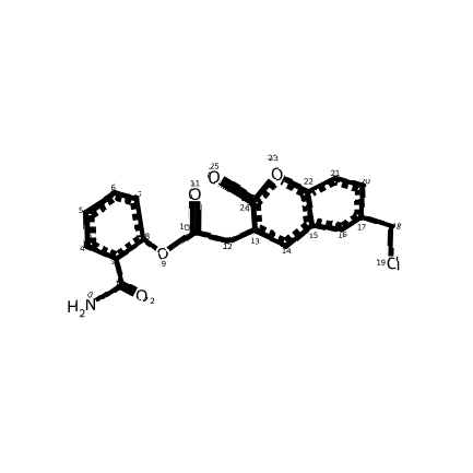 NC(=O)c1ccccc1OC(=O)Cc1cc2cc(CCl)ccc2oc1=O